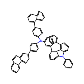 c1ccc(-c2cccc3c2c2c(-c4cccc(N(c5ccc(-c6ccc7c(ccc8ccccc87)c6)cc5)c5ccc(-c6cccc7ccccc67)cc5)c4)cccc2n3-c2ccccc2)cc1